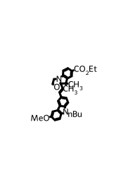 CCCCn1c2ccc(C=CC34OCCN3c3ccc(C(=O)OCC)cc3C4(C)C)cc2c2cc(OC)ccc21